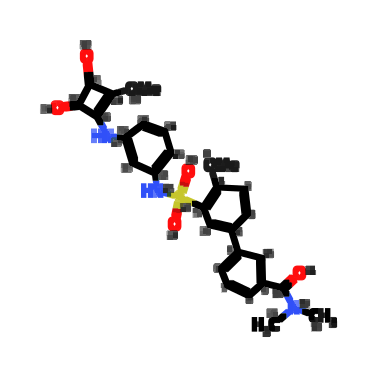 COc1ccc(-c2cccc(C(=O)N(C)C)c2)cc1S(=O)(=O)Nc1cccc(Nc2c(OC)c(=O)c2=O)c1